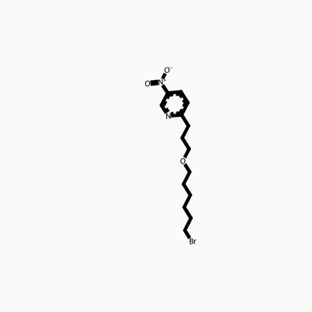 O=[N+]([O-])c1ccc(CCCOCCCCCCBr)nc1